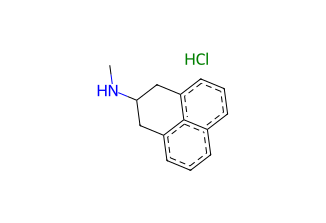 CNC1Cc2cccc3cccc(c23)C1.Cl